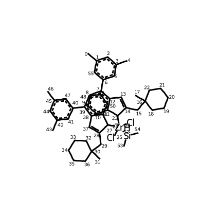 Cc1cc(C)cc(-c2cccc3c2C=C(CC2(C)CCCCC2)[CH]3[Zr]([Cl])([Cl])([CH]2C(CC3(C)CCCCC3)=Cc3c(-c4cc(C)cc(C)c4)cccc32)[SiH](C)C)c1